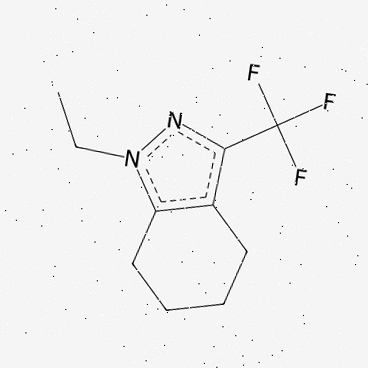 CCn1nc(C(F)(F)F)c2c1CCCC2